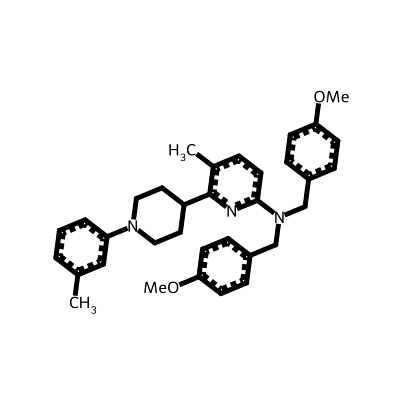 COc1ccc(CN(Cc2ccc(OC)cc2)c2ccc(C)c(C3CCN(c4cccc(C)c4)CC3)n2)cc1